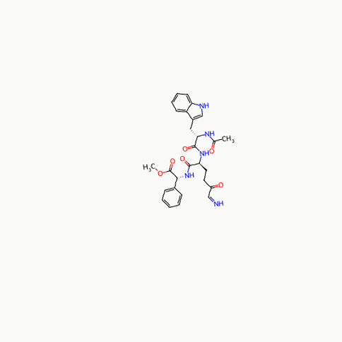 COC(=O)[C@H](NC(=O)[C@H](CCC(=O)C=N)NC(=O)[C@H](Cc1c[nH]c2ccccc12)NC(C)=O)c1ccccc1